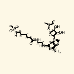 CCN(C)C[C@H]1OC(n2cnc3c(N)nc(NCCNC(=O)CCCCCNS(C)(=O)=O)nc32)[C@H](O)[C@@H]1O